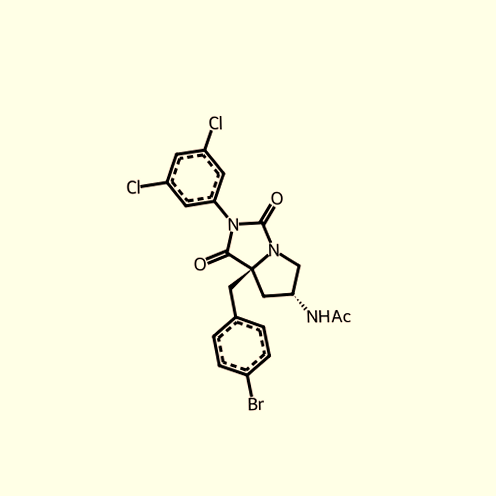 CC(=O)N[C@H]1CN2C(=O)N(c3cc(Cl)cc(Cl)c3)C(=O)[C@@]2(Cc2ccc(Br)cc2)C1